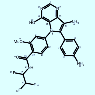 COc1cc(-n2c(-c3ccc(N)cc3)c(C)c3ncnc(O)c32)ccc1C(=O)NC(F)C(F)F